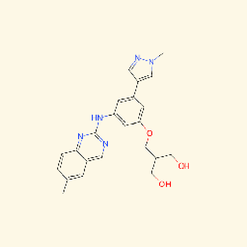 Cc1ccc2nc(Nc3cc(OCC(CO)CO)cc(-c4cnn(C)c4)c3)ncc2c1